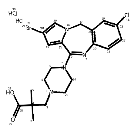 CC(C)(CN1CCN(C2=Nc3ccc(Cl)cc3Cn3cc(Br)cc32)CC1)C(=O)O.Cl.Cl